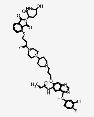 C=CC(=O)Nc1cc2c(Nc3ccc(F)c(Cl)c3)ncnc2cc1OCCCN1CCC(N2CCN(C(=O)CCSc3cccc4c3C(=O)N(C3CCC(O)NC3=O)C4=O)CC2)CC1